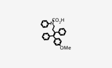 COc1ccc(C(=C(CCN(C(=O)O)c2ccccc2)c2ccccc2)c2ccccc2)cc1